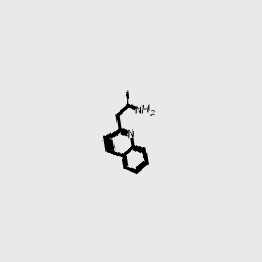 C[C@@H](N)Cc1ccc2ccccc2n1